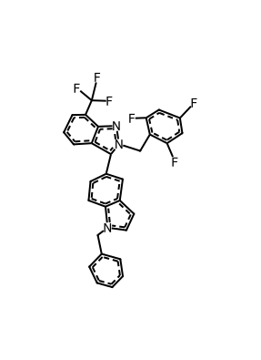 Fc1cc(F)c(Cn2nc3c(C(F)(F)F)cccc3c2-c2ccc3c(ccn3Cc3ccccc3)c2)c(F)c1